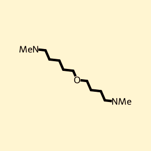 CNCCCCCOCCCCNC